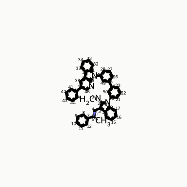 C=Nc1c(/C=C(\C)c2ccccc2)c2ccccc2n1-c1cccc(-c2cccc(-n3c4ccccc4c4cc(-c5ccccc5)cnc43)c2)c1